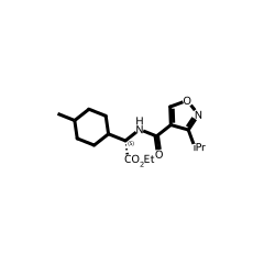 CCOC(=O)[C@@H](NC(=O)c1conc1C(C)C)C1CCC(C)CC1